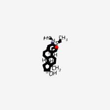 CCSSC[C@]12CC/C(=N/O)C=C1CC[C@@H]1[C@@H]2CC[C@]2(C)[C@@H](O)CC[C@@H]12